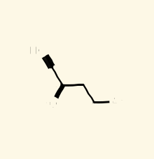 C#CC(=O)CCC(C)=O